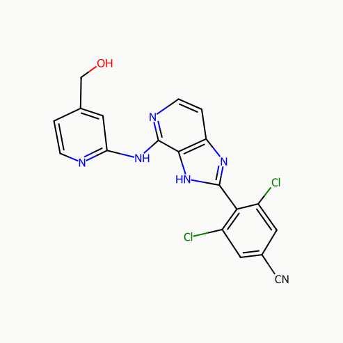 N#Cc1cc(Cl)c(-c2nc3ccnc(Nc4cc(CO)ccn4)c3[nH]2)c(Cl)c1